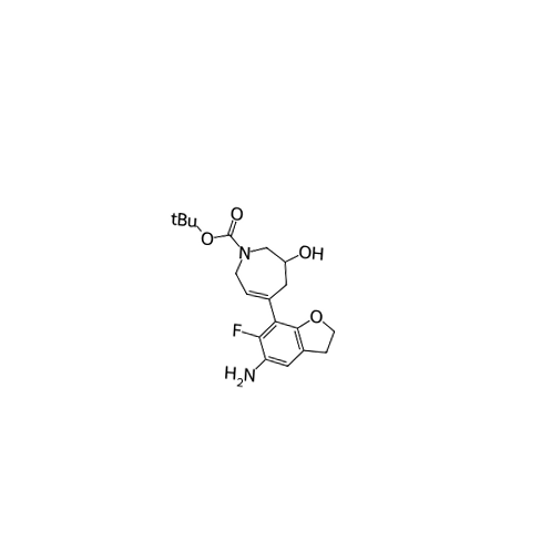 CC(C)(C)OC(=O)N1CC=C(c2c(F)c(N)cc3c2OCC3)CC(O)C1